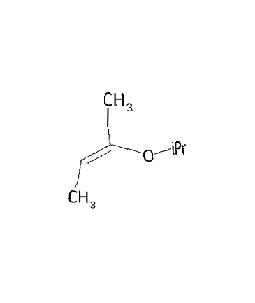 C/C=C(/C)OC(C)C